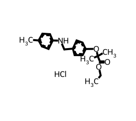 CCOC(=O)C(C)(C)Oc1ccc(CNc2ccc(C)cc2)cc1.Cl